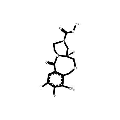 Cc1c(Br)c(Cl)cc2c1COC[C@H]1CN(C(=O)OC(C)(C)C)CCN1C2=O